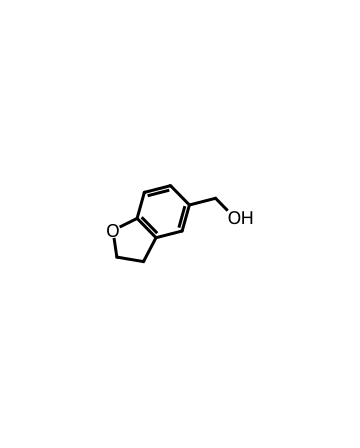 OCc1ccc2c(c1)CCO2